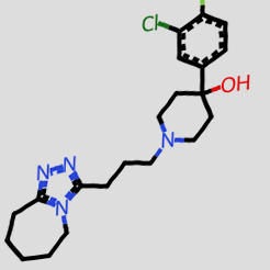 OC1(c2ccc(F)c(Cl)c2)CCN(CCCc2nnc3n2CCCCC3)CC1